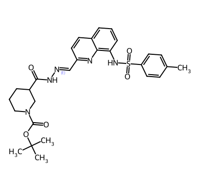 Cc1ccc(S(=O)(=O)Nc2cccc3ccc(/C=N/NC(=O)C4CCCN(C(=O)OC(C)(C)C)C4)nc23)cc1